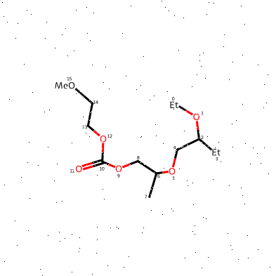 CCOC(CC)COC(C)COC(=O)OCCOC